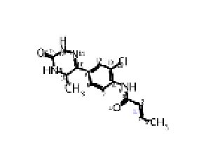 C/C=C/C(=O)Nc1ccc(C2=NNC(=O)NC2C)cc1Cl